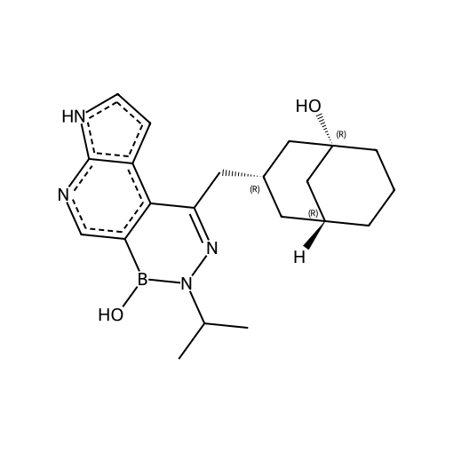 CC(C)N1N=C(C[C@H]2C[C@H]3CCC[C@@](O)(C3)C2)c2c(cnc3[nH]ccc23)B1O